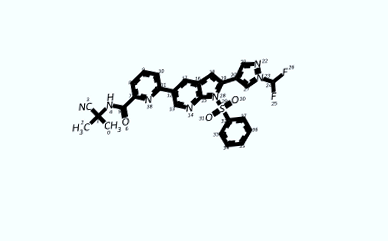 CC(C)(C#N)NC(=O)c1cccc(-c2cnc3c(c2)cc(-c2cnn(C(F)F)c2)n3S(=O)(=O)c2ccccc2)n1